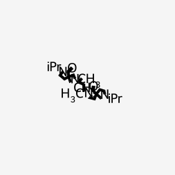 CC(C)N1CCC2(CCN(C(C)CC(C)(C)N3CC4(CCN(C(C)C)C4=O)C3)C2=O)C1